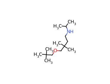 CC(C)NCCC(C)(C)COCC(C)(C)C